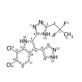 CC(F)(F)Cc1nnc(-c2[nH]c3c(Cl)c(Cl)ccc3c2-c2cn[nH]c2)[nH]1